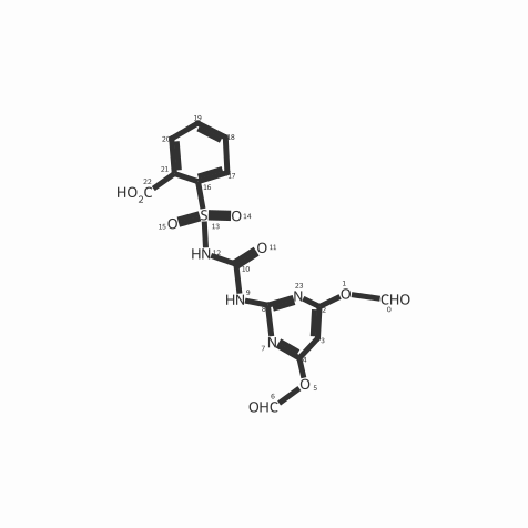 O=COc1cc(OC=O)nc(NC(=O)NS(=O)(=O)c2ccccc2C(=O)O)n1